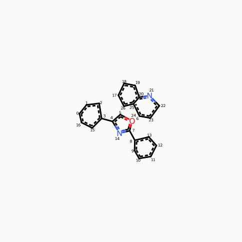 c1ccc(-c2coc(-c3ccccc3)n2)cc1.c1ccc2ncccc2c1